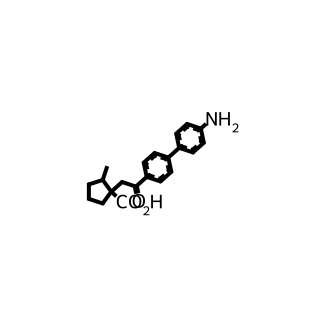 CC1CCCC1(CC(=O)c1ccc(-c2ccc(N)cc2)cc1)C(=O)O